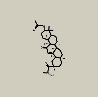 CC(=O)O[C@@H]1CC[C@@]2(C)C(CC[C@]3(C)[C@@H]2C(=O)C=C2[C@@H]4C[C@@](C)(C(=O)N(C)O)CC[C@]4(C)CC[C@]23C)C1(C)C